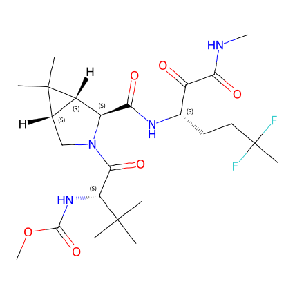 CNC(=O)C(=O)[C@H](CCC(C)(F)F)NC(=O)[C@@H]1[C@@H]2[C@H](CN1C(=O)[C@@H](NC(=O)OC)C(C)(C)C)C2(C)C